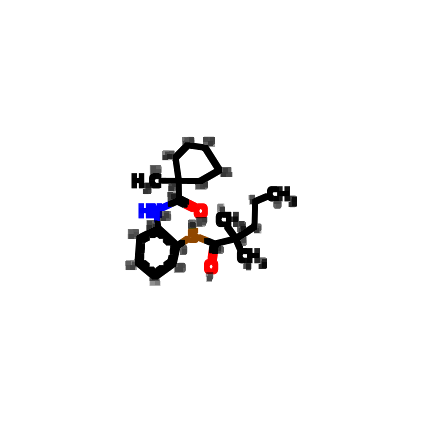 CCCC(C)(C)C(=O)Sc1ccccc1NC(=O)C1(C)CCCCC1